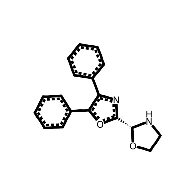 c1ccc(-c2nc([C@@H]3NCCO3)oc2-c2ccccc2)cc1